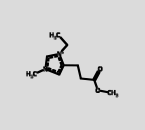 CC[n+]1cn(C)cc1CCC(=O)OC